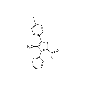 CCC(=O)c1sc(-c2ccc(F)cc2)c(C)c1-c1ccccc1